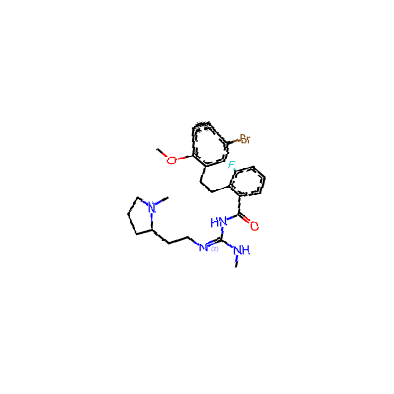 CN/C(=N/CCC1CCCN1C)NC(=O)c1cccc(F)c1CCc1cc(Br)ccc1OC